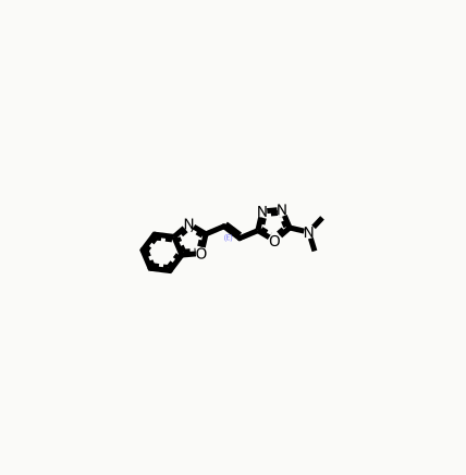 CN(C)c1nnc(/C=C/c2nc3ccccc3o2)o1